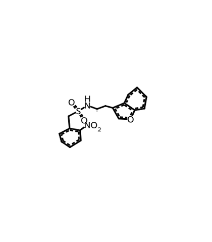 O=[N+]([O-])c1ccccc1CS(=O)(=O)N[CH]Cc1coc2ccccc12